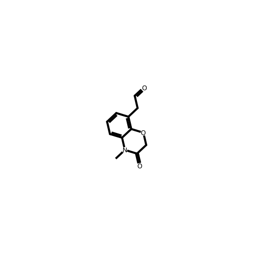 CN1C(=O)COc2c(CC=O)cccc21